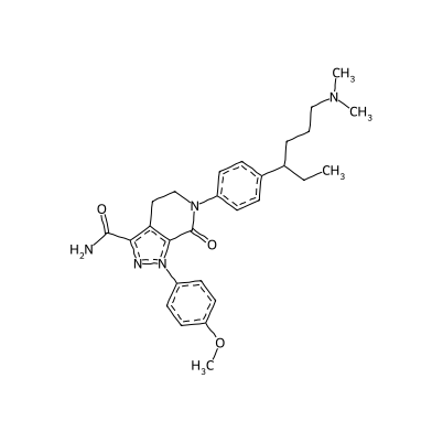 CCC(CCCN(C)C)c1ccc(N2CCc3c(C(N)=O)nn(-c4ccc(OC)cc4)c3C2=O)cc1